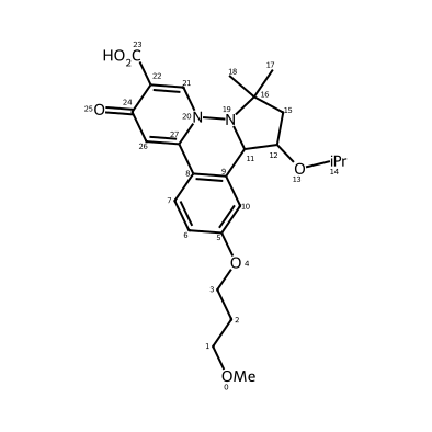 COCCCOc1ccc2c(c1)C1C(OC(C)C)CC(C)(C)N1n1cc(C(=O)O)c(=O)cc1-2